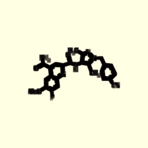 COc1cc2c(C(N)=O)cc(C(=O)Nc3c(C)nn(Cc4ccc(C#N)cc4)c3C)nc2cc1F